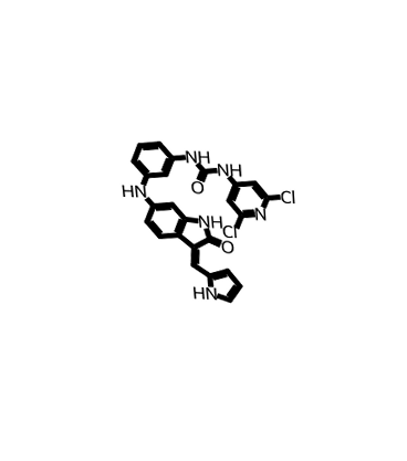 O=C(Nc1cccc(Nc2ccc3c(c2)NC(=O)/C3=C\c2ccc[nH]2)c1)Nc1cc(Cl)nc(Cl)c1